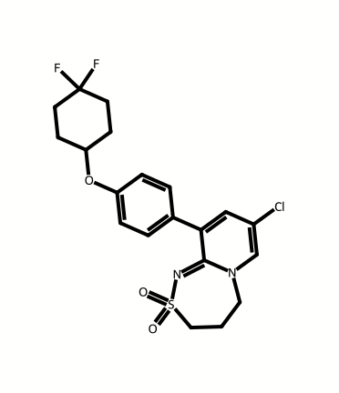 O=S1(=O)CCCN2C=C(Cl)C=C(c3ccc(OC4CCC(F)(F)CC4)cc3)C2=N1